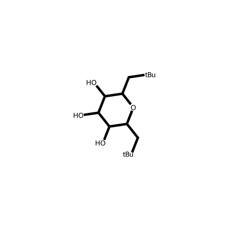 CC(C)(C)CC1OC(CC(C)(C)C)C(O)C(O)C1O